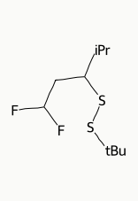 CC(C)C(CC(F)F)SSC(C)(C)C